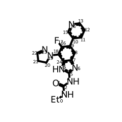 CCNC(=O)Nc1nc2cc(-c3cccnc3)c(F)c(N3CCC=N3)c2[nH]1